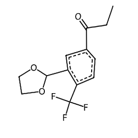 CCC(=O)c1ccc(C(F)(F)F)c(C2OCCO2)c1